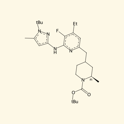 CCc1cc(CC2CCN(C(=O)OC(C)(C)C)[C@H](C)C2)nc(Nc2cc(C)n(C(C)(C)C)n2)c1F